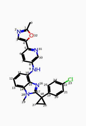 Cc1ncc(-c2ccc(Nc3cccc4c3nc(C3(c5ccc(Cl)cc5)CC3)n4C)cn2)o1